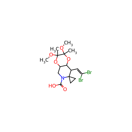 COC1(C)OC2CN(C(=O)O)C3(CC3)C(C=C(Br)Br)C2OC1(C)OC